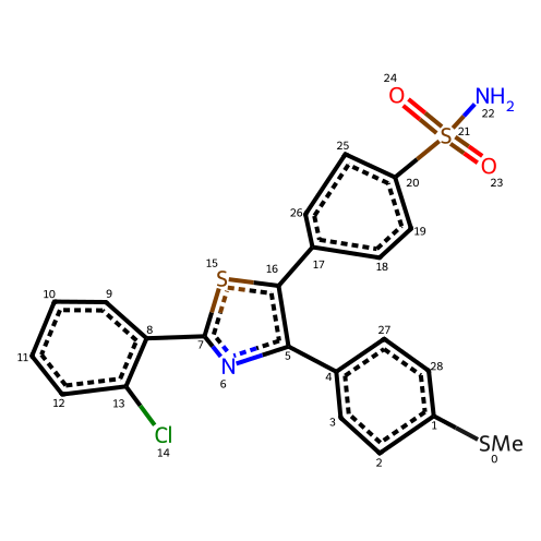 CSc1ccc(-c2nc(-c3ccccc3Cl)sc2-c2ccc(S(N)(=O)=O)cc2)cc1